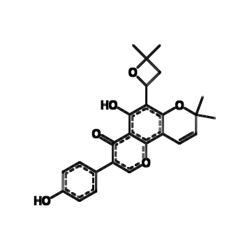 CC1(C)C=Cc2c(c(C3CC(C)(C)O3)c(O)c3c(=O)c(-c4ccc(O)cc4)coc23)O1